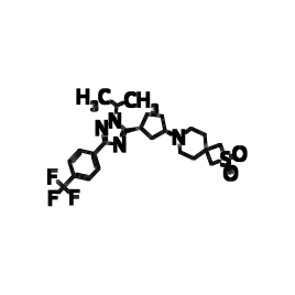 CC(C)n1nc(-c2ccc(C(F)(F)F)cc2)nc1[C@H]1CC[C@@H](N2CCC3(CC2)CS(=O)(=O)C3)C1